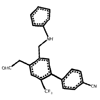 N#Cc1ccc(-c2cc(CNc3ccccc3)c([CH]C=O)cc2C(F)(F)F)cc1